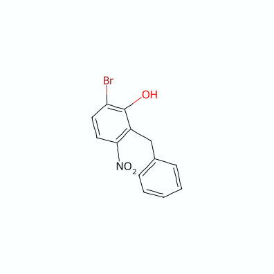 O=[N+]([O-])c1ccc(Br)c(O)c1Cc1ccccc1